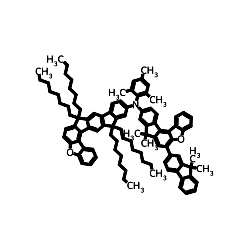 CCCCCCCCC1(CCCCCCCC)c2cc(N(c3ccc4c(c3)C(C)(C)c3cc(-c5ccc6c(c5)C(C)(C)c5ccccc5-6)c5oc6ccccc6c5c3-4)c3c(C)cc(C)cc3C)ccc2-c2cc3c(cc21)-c1c(ccc2oc4ccccc4c12)C3(CCCCCCCC)CCCCCCCC